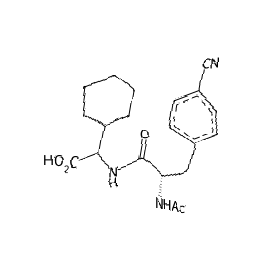 CC(=O)N[C@@H](Cc1ccc(C#N)cc1)C(=O)NC(C(=O)O)C1CCCCC1